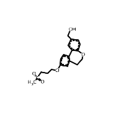 CS(=O)(=O)CCCOc1ccc2c(c1)CCOc1ccc(CO)cc1-2